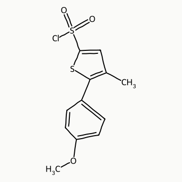 COc1ccc(-c2sc(S(=O)(=O)Cl)cc2C)cc1